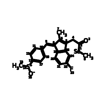 C[Se]C(=O)CC1=C(C)/C(=C/c2ccc([S+](C)[O-])cc2)c2ccc(F)cc21